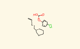 C=CCCCC1CCCCC1.O=C(O)Oc1ccc(Cl)cc1